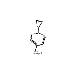 O=C(O)C1=CCC(C2CC2)C=C1